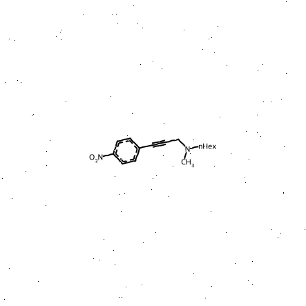 CCCCCCN(C)CC#Cc1ccc([N+](=O)[O-])cc1